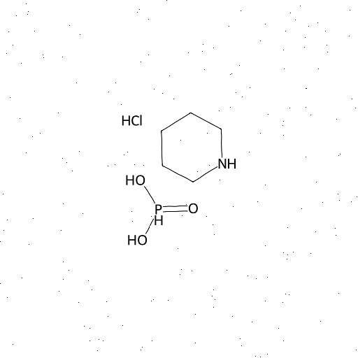 C1CCNCC1.Cl.O=[PH](O)O